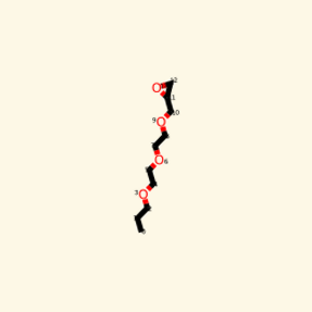 CCCOCCOCCOCC1CO1